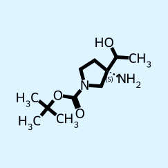 CC(O)[C@]1(N)CCN(C(=O)OC(C)(C)C)C1